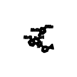 COc1ccc(CNc2nc3c(OC)cccc3c3nc([C@@H]4CCCN(C5CC5)C4)nn23)c(OC)c1